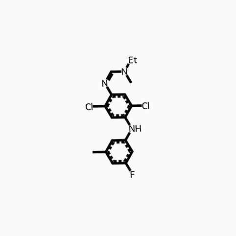 CCN(C)/C=N\c1cc(Cl)c(Nc2cc(C)cc(F)c2)cc1Cl